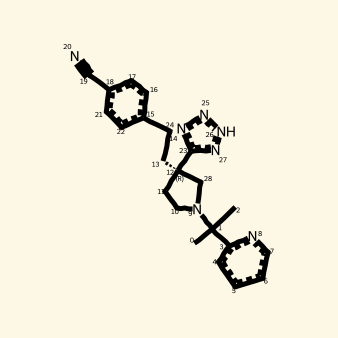 CC(C)(c1ccccn1)N1CC[C@@](CCc2ccc(C#N)cc2)(c2nn[nH]n2)C1